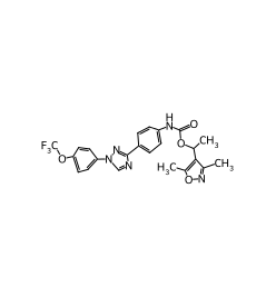 Cc1noc(C)c1C(C)OC(=O)Nc1ccc(-c2ncn(-c3ccc(OC(F)(F)F)cc3)n2)cc1